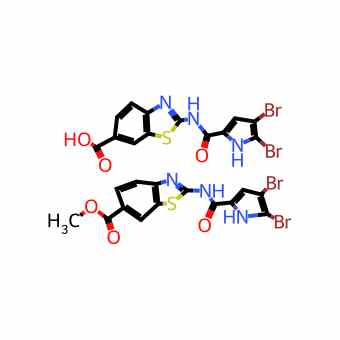 COC(=O)c1ccc2nc(NC(=O)c3cc(Br)c(Br)[nH]3)sc2c1.O=C(O)c1ccc2nc(NC(=O)c3cc(Br)c(Br)[nH]3)sc2c1